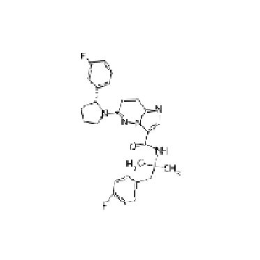 CC(C)(Cc1ccc(F)cc1)NC(=O)c1cnc2ccc(N3CCC[C@@H]3c3cccc(F)c3)nn12